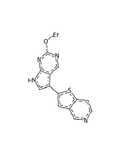 CCOc1ncc2c(-c3cc4cnccc4s3)c[nH]c2n1